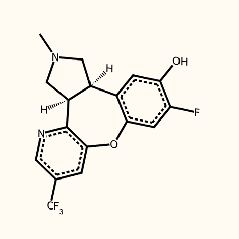 CN1C[C@@H]2c3ncc(C(F)(F)F)cc3Oc3cc(F)c(O)cc3[C@@H]2C1